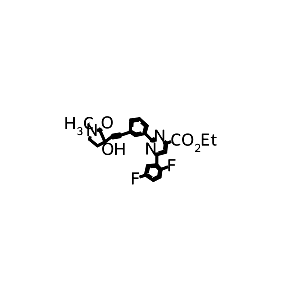 CCOC(=O)c1cc(-c2cc(F)ccc2F)nc(-c2cccc(C#C[C@]3(O)CCN(C)C3=O)c2)n1